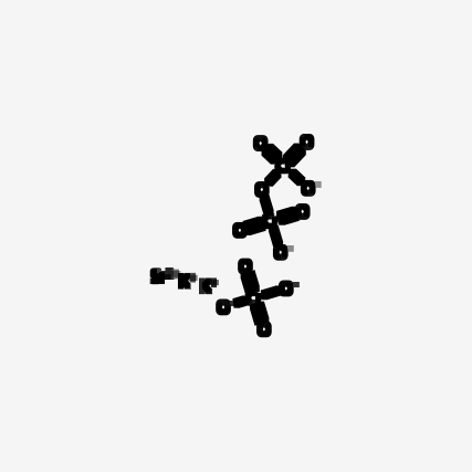 [K+].[K+].[O]=[Cr](=[O])([O-])[O-].[O]=[Cr](=[O])([O-])[O][Cr](=[O])(=[O])[O-].[Sr+2]